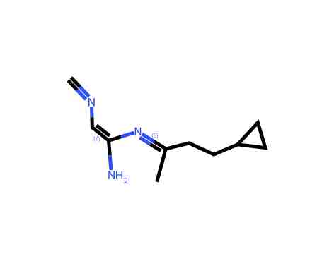 C=N/C=C(N)\N=C(/C)CCC1CC1